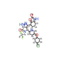 CC(F)(F)CN1C(=O)c2[nH]nc(-c3cccc4[nH]c(=O)oc34)c2C1c1ccc(Oc2ccc(Cl)cc2)cn1